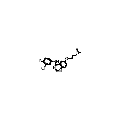 CN(C)CCCOc1ccc2ncnc(Nc3ccc(F)c(Cl)c3)c2c1